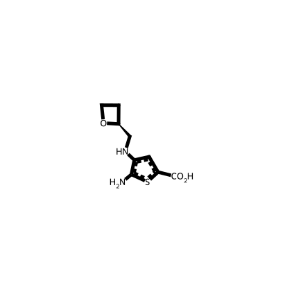 Nc1sc(C(=O)O)cc1NC[C@@H]1CCO1